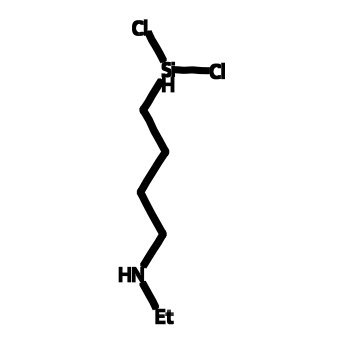 CCNCCCC[SiH](Cl)Cl